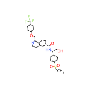 CCS(=O)(=O)c1ccc([C@H](CO)NC(=O)c2ccc3c(COc4ccc(C(F)(F)F)cc4)nccc3c2)cc1